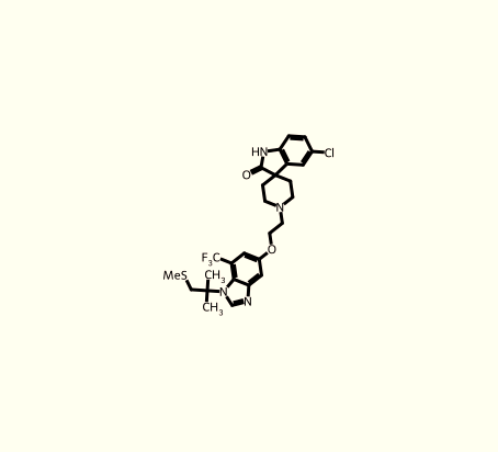 CSCC(C)(C)n1cnc2cc(OCCN3CCC4(CC3)C(=O)Nc3ccc(Cl)cc34)cc(C(F)(F)F)c21